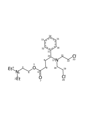 CCN(CC)CCOC(=O)CCC(c1ccccc1)N(CCCl)CCCl